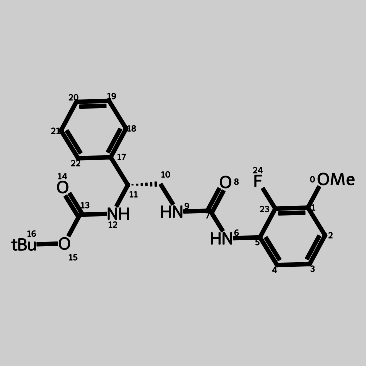 COc1cccc(NC(=O)NC[C@H](NC(=O)OC(C)(C)C)c2ccccc2)c1F